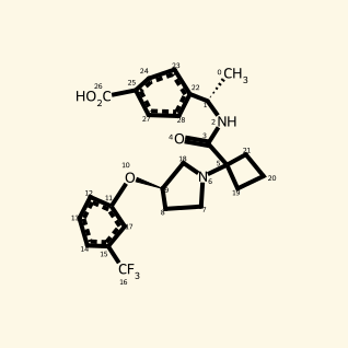 C[C@H](NC(=O)C1(N2CC[C@@H](Oc3cccc(C(F)(F)F)c3)C2)CCC1)c1ccc(C(=O)O)cc1